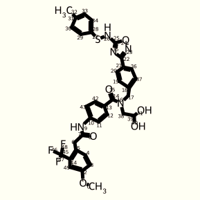 COc1ccc(CC(=O)Nc2ccc(C(=O)N(Cc3ccc(-c4noc(NSc5ccc(C)cc5)n4)cc3)CC(O)O)cc2)c(C(F)(F)F)c1